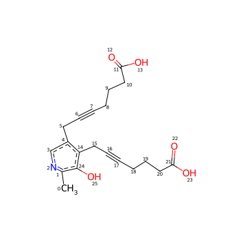 Cc1ncc(CC#CCCCC(=O)O)c(CC#CCCCC(=O)O)c1O